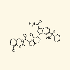 NC(=O)n1cc(N2CCN3CC[C@@H](C(=O)NCc4cccc(Cl)c4F)N3C2=O)c2cc(P(=O)(O)c3ccccc3)ccc21